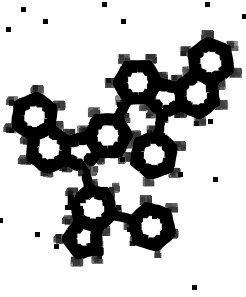 c1ccc(-c2nc(-n3c4ccc(-c5cccc6c7c8ccccc8ccc7n(-c7ccccc7)c56)cc4c4c5ccccc5ccc43)nc3ccsc23)cc1